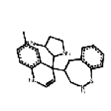 Cc1ccc2c(c1)C(C1CNSc3ccccc3C1)(C1NCCC1N)C=CN2